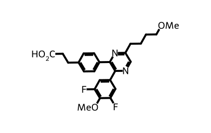 COCCCCc1cnc(-c2cc(F)c(OC)c(F)c2)c(-c2ccc(CCC(=O)O)cc2)n1